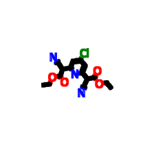 CCOC(=O)C(C#N)c1cc(Cl)cc(C(C#N)C(=O)OCC)n1